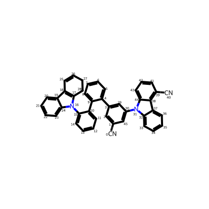 N#Cc1cc(-c2ccccc2-c2ccccc2-n2c3c(c4ccccc42)C=CCC3)cc(-n2c3ccccc3c3c(C#N)cccc32)c1